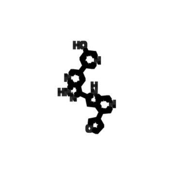 Oc1cncc(-c2cnc3[nH]nc(-c4cc5c(-c6ccoc6)cncc5[nH]4)c3c2)c1